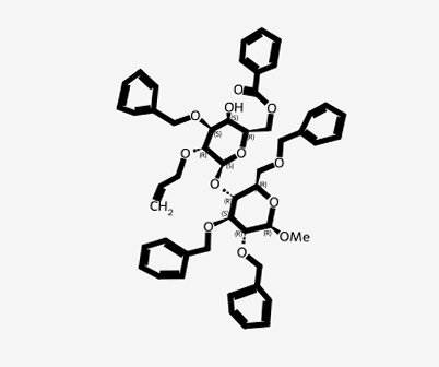 C=CCO[C@H]1[C@H](O[C@H]2[C@H](OCc3ccccc3)[C@@H](OCc3ccccc3)[C@H](OC)O[C@@H]2COCc2ccccc2)O[C@H](COC(=O)c2ccccc2)[C@H](O)[C@@H]1OCc1ccccc1